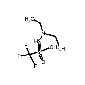 CCN(CC)[SH]=S(=O)(O)C(F)(F)F